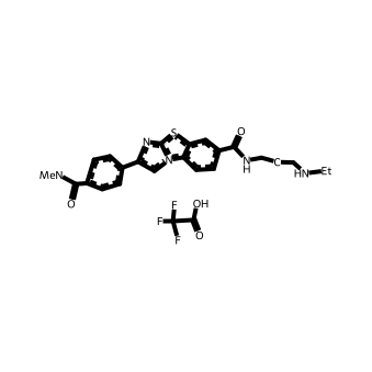 CCNCCCNC(=O)c1ccc2c(c1)sc1nc(-c3ccc(C(=O)NC)cc3)cn12.O=C(O)C(F)(F)F